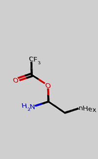 CCCCCCCC(N)OC(=O)C(F)(F)F